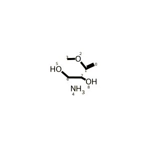 C=COC.N.OCCO